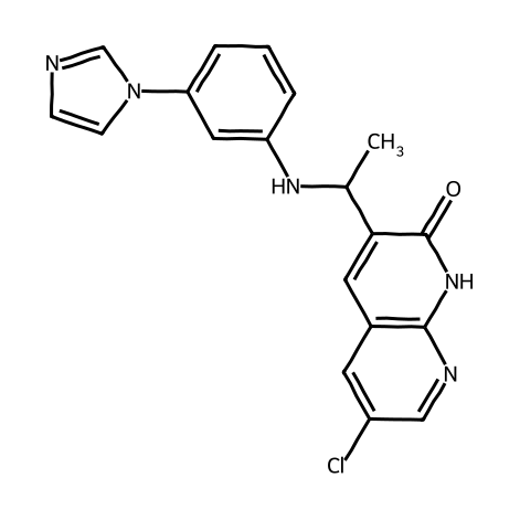 CC(Nc1cccc(-n2ccnc2)c1)c1cc2cc(Cl)cnc2[nH]c1=O